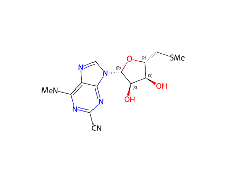 CNc1nc(C#N)nc2c1ncn2[C@@H]1O[C@H](CSC)[C@@H](O)[C@H]1O